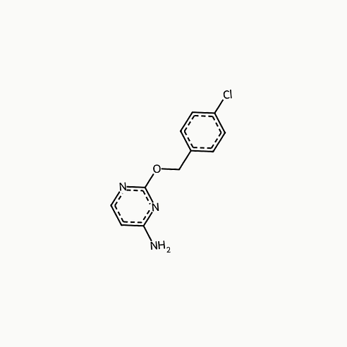 Nc1ccnc(OCc2ccc(Cl)cc2)n1